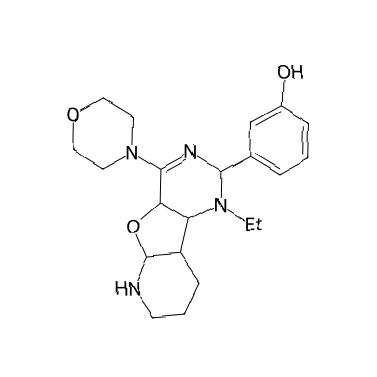 CCN1C(c2cccc(O)c2)N=C(N2CCOCC2)C2OC3NCCCC3C21